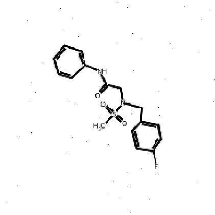 CS(=O)(=O)N(CC(=O)Nc1ccccc1)Cc1ccc(F)cc1